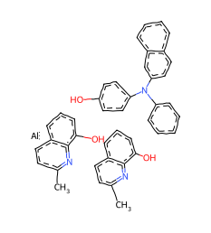 Cc1ccc2cccc(O)c2n1.Cc1ccc2cccc(O)c2n1.Oc1ccc(N(c2ccccc2)c2ccc3ccccc3c2)cc1.[Al]